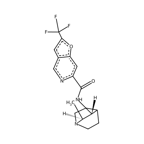 C[C@H]1[C@H](NC(=O)c2cc3oc(C(F)(F)F)cc3cn2)C2CCN1CC2